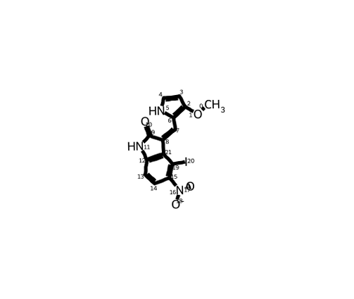 COc1cc[nH]c1/C=C1\C(=O)Nc2ccc([N+](=O)[O-])c(I)c21